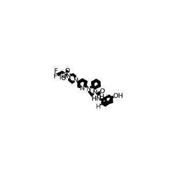 O=C(NC1[C@@H]2CC3C[C@H]1CC(O)(C3)C2)N1CCN(c2ccc(N3CCN(S(=O)(=O)CC(F)(F)F)CC3)cn2)c2ccccc21